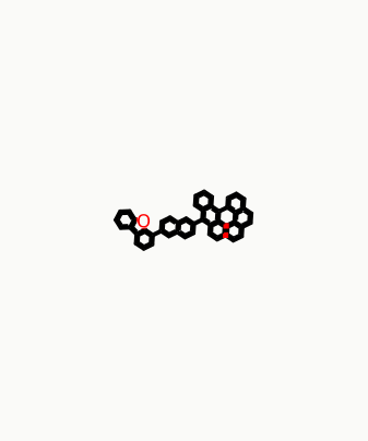 c1ccc2c(c1)ccc1cccc(-c3c4ccccc4c(-c4ccc5cc(-c6cccc7c6oc6ccccc67)ccc5c4)c4ccccc34)c12